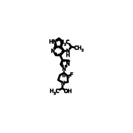 CC(C)Nc1c(-c2cnn([C@H]3CCN(C(C)O)C[C@@H]3F)c2)cnc2[nH]ccc12